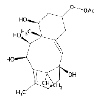 CC(=O)OOC1C/C2=C/[C@]3(O)CCC(C)=C([C@@H](O)[C@@H](O)[C@]2(C)[C@@H](O)C1)C3(C)C